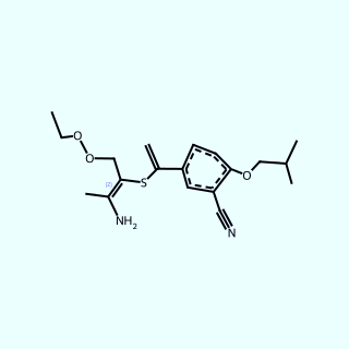 C=C(S/C(COOCC)=C(/C)N)c1ccc(OCC(C)C)c(C#N)c1